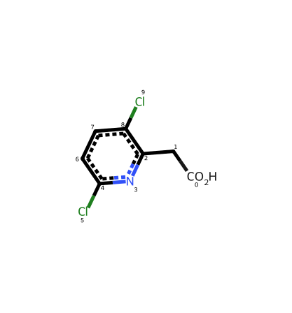 O=C(O)Cc1nc(Cl)ccc1Cl